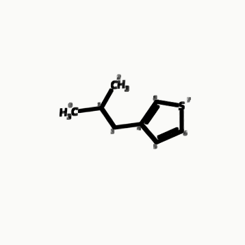 C[C](C)Cc1ccsc1